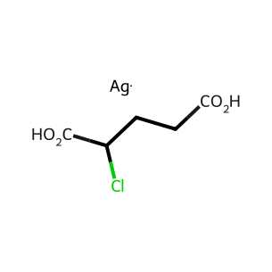 O=C(O)CCC(Cl)C(=O)O.[Ag]